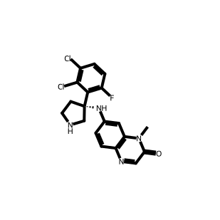 Cn1c(=O)cnc2ccc(N[C@@]3(c4c(F)ccc(Cl)c4Cl)CCNC3)cc21